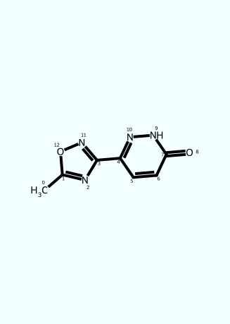 Cc1nc(-c2ccc(=O)[nH]n2)no1